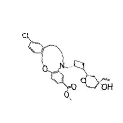 C=C[C@@]1(O)CCO[C@@H]([C@@H]2CC[C@H]2CN2CCCCc3cc(Cl)ccc3COc3ccc(C(=O)OC)cc32)C1